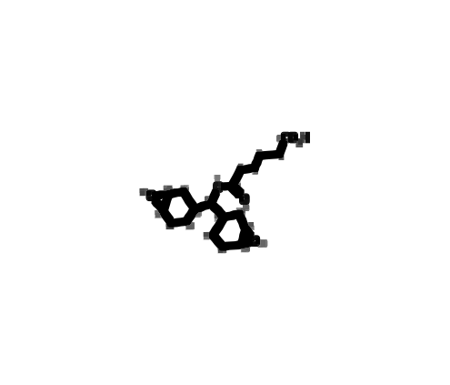 O=C(O)CCCCC(=O)OC(C1CCC2OC2C1)C1CCC2OC2C1